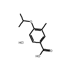 Cc1cc(C(=O)O)ccc1OC(C)C.Cl